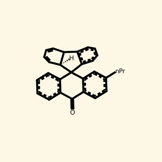 CCCc1ccc2c(c1)C1(c3ccccc3C2=O)c2ccccc2C2C=CC=C[C@@H]21